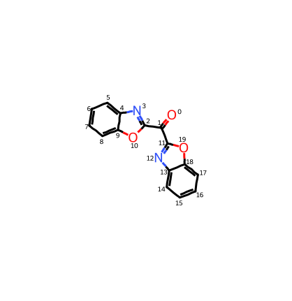 O=C(c1nc2ccccc2o1)c1nc2ccccc2o1